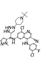 Cn1nccc1[C@H](Nc1cc(Cl)c2ncc(C#N)c(Nc3ccc(F)c(Cl)c3)c2c1)C1=CN(C2CCN(C(C)(C)C)CC2)NN1